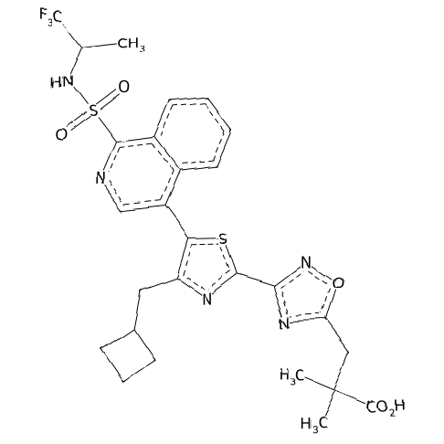 CC(NS(=O)(=O)c1ncc(-c2sc(-c3noc(CC(C)(C)C(=O)O)n3)nc2CC2CCC2)c2ccccc12)C(F)(F)F